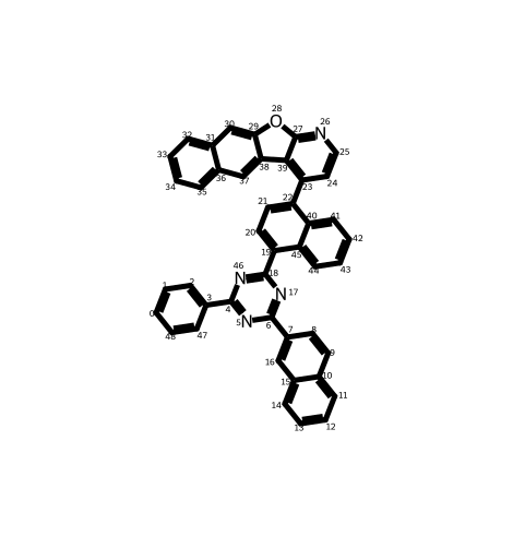 c1ccc(-c2nc(-c3ccc4ccccc4c3)nc(-c3ccc(-c4ccnc5oc6cc7ccccc7cc6c45)c4ccccc34)n2)cc1